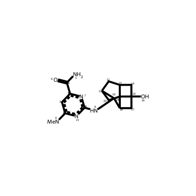 CNc1cc(C(N)=O)nc(NC2C3CC4CC5(O)CC2C45C3)n1